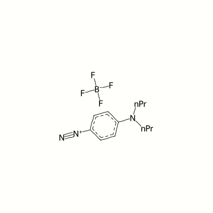 CCCN(CCC)c1ccc([N+]#N)cc1.F[B-](F)(F)F